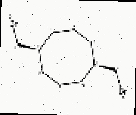 BrC[C@H]1CCC[C@@H](CBr)CCC1